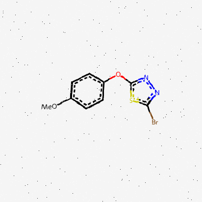 COc1ccc(Oc2nnc(Br)s2)cc1